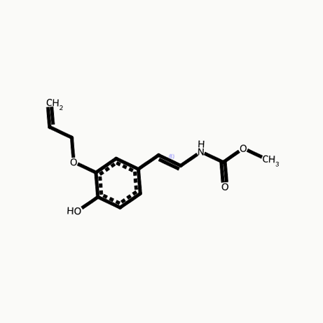 C=CCOc1cc(/C=C/NC(=O)OC)ccc1O